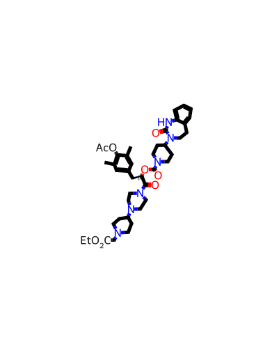 CCOC(=O)CN1CCC(N2CCN(C(=O)[C@@H](Cc3cc(C)c(OC(C)=O)c(C)c3)OC(=O)N3CCC(N4CCc5ccccc5NC4=O)CC3)CC2)CC1